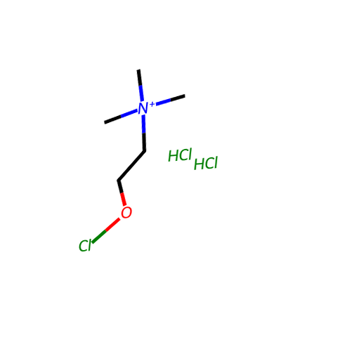 C[N+](C)(C)CCOCl.Cl.Cl